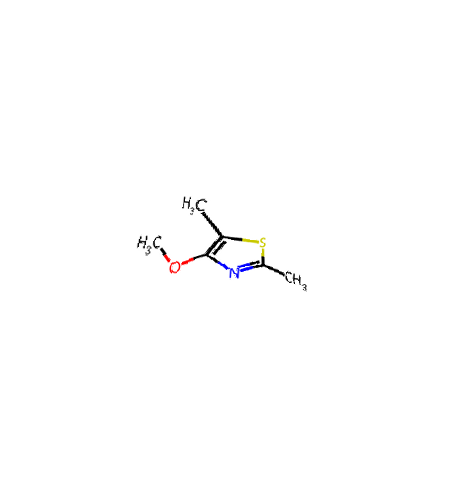 COc1nc(C)sc1C